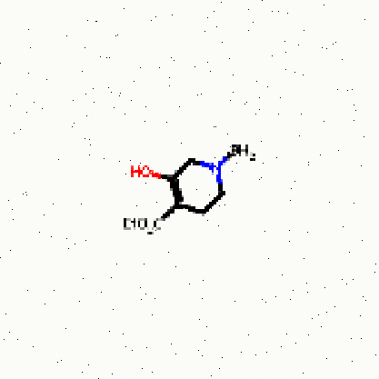 BN1CCC(C(=O)OCC)=C(O)C1